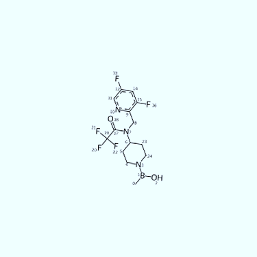 CB(O)N1CCC(N(Cc2ncc(F)cc2F)C(=O)C(F)(F)F)CC1